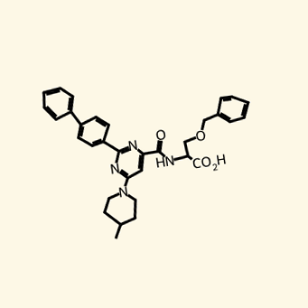 CC1CCN(c2cc(C(=O)NC(COCc3ccccc3)C(=O)O)nc(-c3ccc(-c4ccccc4)cc3)n2)CC1